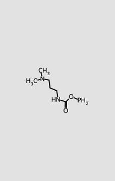 CN(C)CCCNC(=O)OP